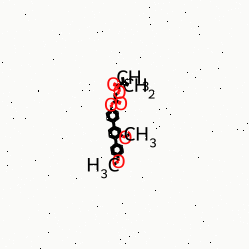 C=C(C)C(=O)OCC(=O)Oc1ccc(-c2ccc(-c3ccc(OC)cc3)c(OC)c2)cc1